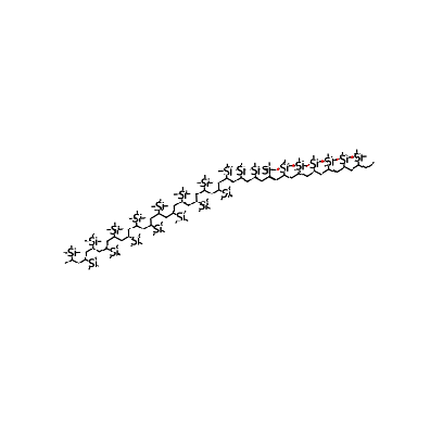 CCC(CC(CC(CC(CC(CC(CC(CC(CC(CC(CC(CC(CC(CC(CC(CC(CC(CC(CC(CC(CC(CC(CC(CC(C)[Si](C)(C)C)[Si](C)(C)C)[Si](C)(C)C)[Si](C)(C)C)[Si](C)(C)C)[Si](C)(C)C)[Si](C)(C)C)[Si](C)(C)C)[Si](C)(C)C)[Si](C)(C)C)[Si](C)(C)C)[Si](C)(C)C)[Si](C)(C)C)[Si](C)(C)C)[Si](C)(C)C)[Si](C)(C)C)[Si](C)(C)C)[Si](C)(C)C)[Si](C)(C)C)[Si](C)(C)C)[Si](C)(C)C)[Si](C)(C)C)[Si](C)(C)C)[Si](C)(C)C